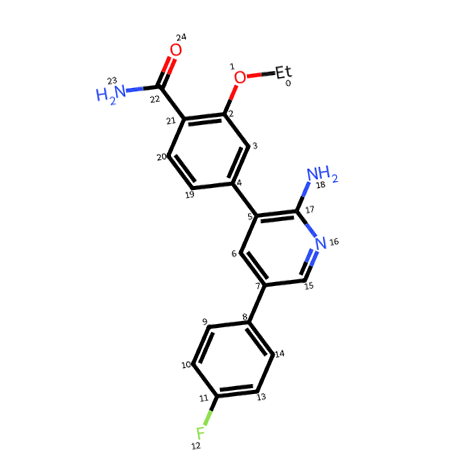 CCOc1cc(-c2cc(-c3ccc(F)cc3)cnc2N)ccc1C(N)=O